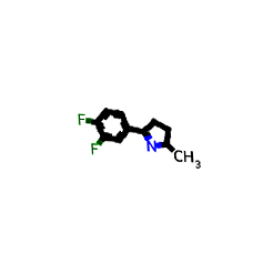 CC1CCC(c2ccc(F)c(F)c2)=N1